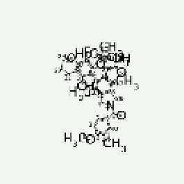 COc1ccc(C(=O)N2Cc3c(C)c(-c4cc(F)c5c(c4C)CCCO5)c([C@H](OC(C)(C)C)C(=O)O)c(C)c3C2)cc1C